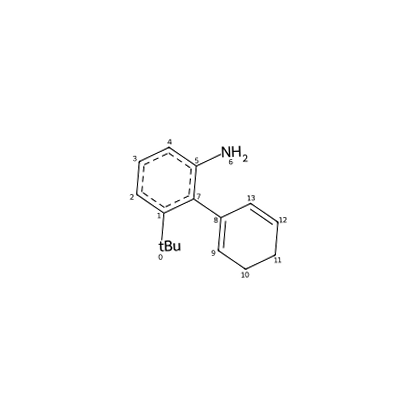 CC(C)(C)c1cccc(N)c1C1=CCCC=C1